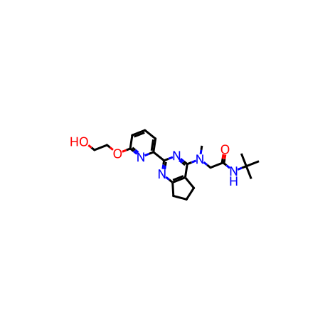 CN(CC(=O)NC(C)(C)C)c1nc(-c2cccc(OCCO)n2)nc2c1CCC2